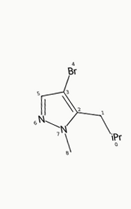 CC(C)Cc1c(Br)cnn1C